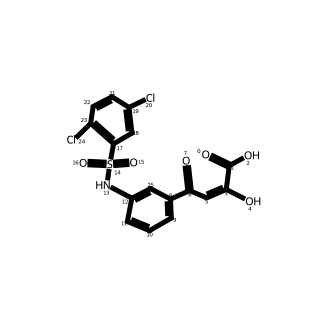 O=C(O)/C(O)=C\C(=O)c1cccc(NS(=O)(=O)c2cc(Cl)ccc2Cl)c1